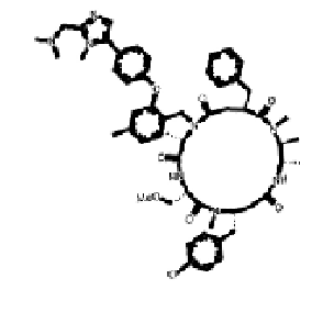 COC[C@@H]1NC(=O)[C@H](C)N(Cc2ccc(C)cc2Oc2ccc(-c3cnc(CN(C)C)n3C)cc2)C(=O)C[C@@H](Cc2ccccc2)C(=O)N(C)[C@@H](C)[C@H](C)NC(=O)C[C@H](Cc2ccc(Cl)cc2)N(C)C1=O